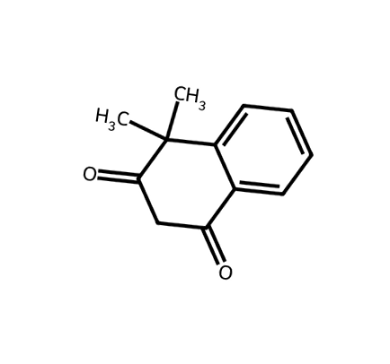 CC1(C)C(=O)CC(=O)c2ccccc21